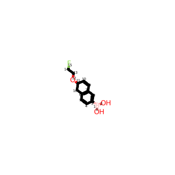 OB(O)c1ccc2c(c1)C=CC(OCCF)C2